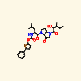 CCC(C)C(O)C(=O)N1CC(=O)C2C1CCN2C(=O)C(CC(C)C)NC(=O)Oc1ccc(-c2ccccc2)s1